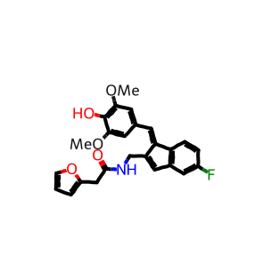 COc1cc(C=C2C(CNC(=O)Cc3ccco3)=Cc3cc(F)ccc32)cc(OC)c1O